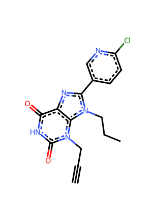 C#CCn1c(=O)[nH]c(=O)c2nc(-c3ccc(Cl)nc3)n(CCC)c21